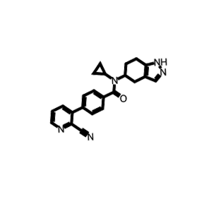 N#Cc1ncccc1-c1ccc(C(=O)N(C2CC2)C2CCc3[nH]ncc3C2)cc1